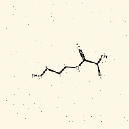 CCCCCCCCCOC(=O)C(Br)CCC